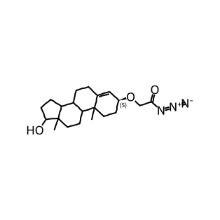 CC12CC[C@H](OCC(=O)N=[N+]=[N-])C=C1CCC1C2CCC2(C)C(O)CCC12